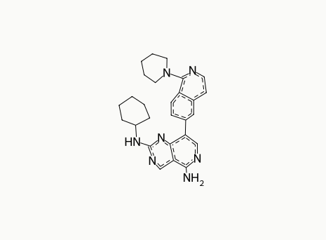 Nc1ncc(-c2ccc3c(N4CCCCC4)nccc3c2)c2nc(NC3CCCCC3)ncc12